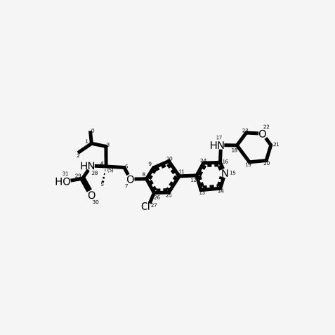 CC(C)C[C@@](C)(COc1ccc(-c2ccnc(NC3CCCOC3)c2)cc1Cl)NC(=O)O